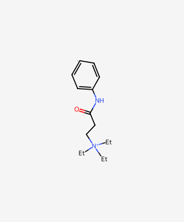 CC[N+](CC)(CC)CCC(=O)Nc1cc[c]cc1